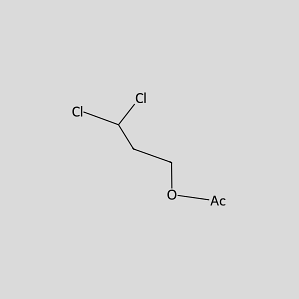 CC(=O)OCCC(Cl)Cl